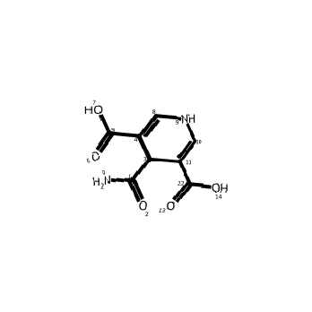 NC(=O)C1C(C(=O)O)=CNC=C1C(=O)O